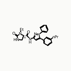 CCCc1cccc(-c2cc(NC(=O)[C@@H]3CNC(=O)N3CC)nn2-c2ccccc2)c1